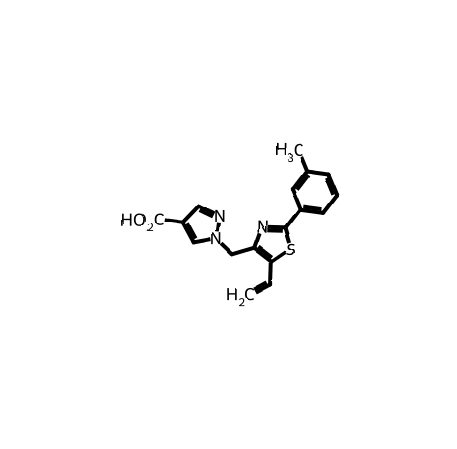 C=Cc1sc(-c2cccc(C)c2)nc1Cn1cc(C(=O)O)cn1